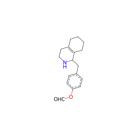 O=COc1ccc(CC2NCCC3=C2CCCC3)cc1